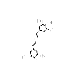 CC(C)(C)c1cc(C=CSC=Cc2cc(C(C)(C)C)c(O)c(C(C)(C)C)c2)cc(C(C)(C)C)c1O